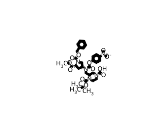 COC(=O)[C@H]1C[C@@H](N(CC2CN(C(=O)O)CCN2C(=O)OC(C)(C)C)C(=O)Oc2ccc([N+](=O)[O-])cc2)CN1C(=O)OCc1ccccc1